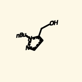 CCCCn1nccc1CO